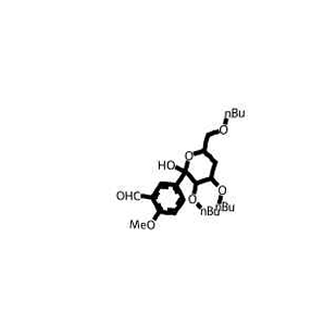 CCCCOCC1CC(OCCCC)C(OCCCC)C(O)(c2ccc(OC)c(C=O)c2)O1